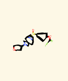 [O-][S+](c1ccc(OC(F)F)cc1)N1C2CCC1CC1(C2)CN(C2CCOCC2)C1